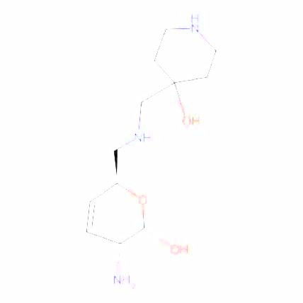 N[C@@H]1C=C[C@@H](CNCC2(O)CCNCC2)O[C@@H]1O